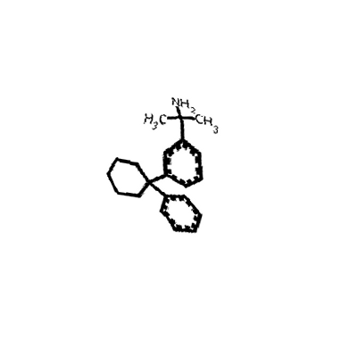 CC(C)(N)c1cccc(C2(c3ccccc3)CCCCC2)c1